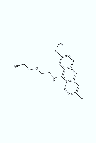 COc1ccc2nc3cc(Cl)ccc3c(NCCOCCN)c2c1